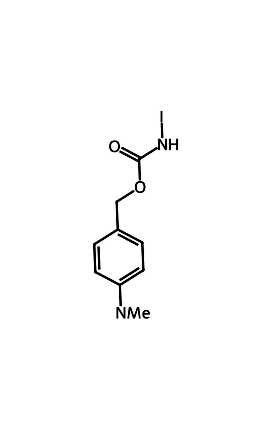 CNc1ccc(COC(=O)NI)cc1